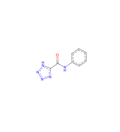 O=C(Nc1ccccc1)c1nnn[nH]1